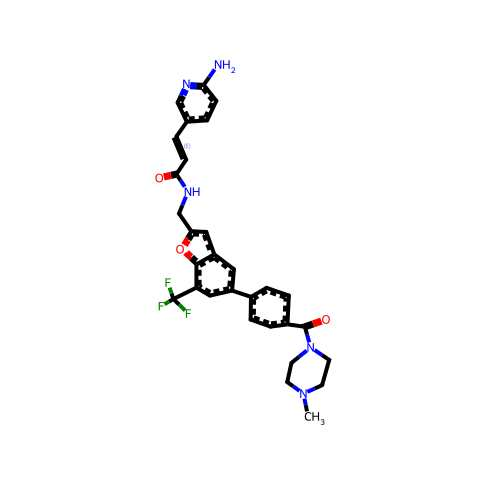 CN1CCN(C(=O)c2ccc(-c3cc(C(F)(F)F)c4oc(CNC(=O)/C=C/c5ccc(N)nc5)cc4c3)cc2)CC1